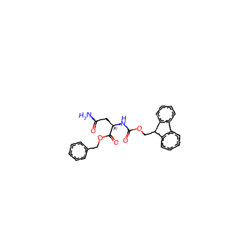 NC(=O)C[C@@H](NC(=O)OCC1c2ccccc2-c2ccccc21)C(=O)OCc1ccccc1